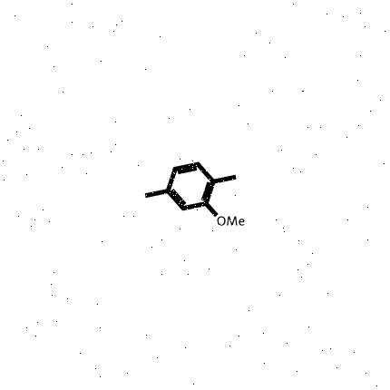 COc1cc(C)ccc1C